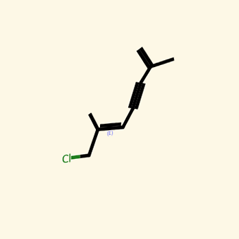 C=C(C)C#C/C=C(\C)CCl